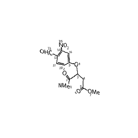 CNC(=O)C(CC(=O)OC)Oc1ccc(C=O)c([N+](=O)[O-])c1